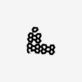 c1cc2cccc3c4cccc5cccc(c(c1)c23)c54.c1cc2cccc3c4cccc5cccc(c(c1)c23)c54.c1cc2cccc3c4cccc5cccc(c(c1)c23)c54.c1ccccc1